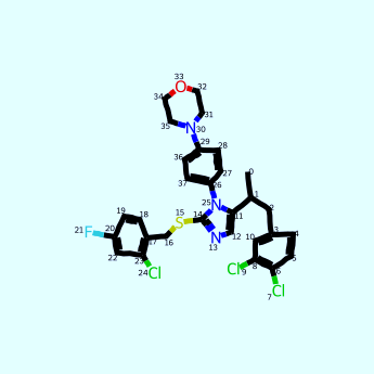 CC(Cc1ccc(Cl)c(Cl)c1)c1cnc(SCc2ccc(F)cc2Cl)n1-c1ccc(N2CCOCC2)cc1